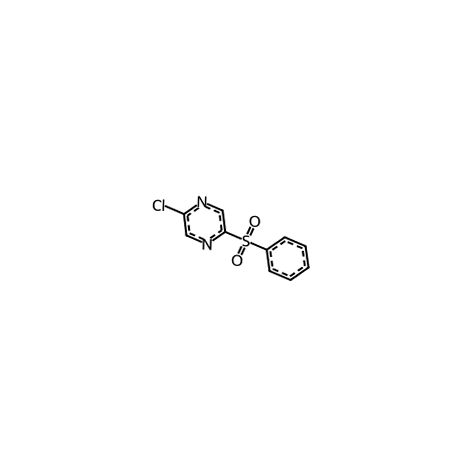 O=S(=O)(c1ccccc1)c1cnc(Cl)cn1